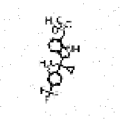 CC(c1ccc(C(F)(F)F)cc1F)(c1c[nH]c2c(CS(C)(=O)=O)cccc12)C1CC1